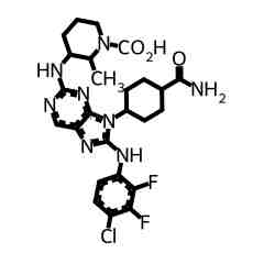 CC1C(Nc2ncc3nc(Nc4ccc(Cl)c(F)c4F)n(C4CCC(C(N)=O)CC4)c3n2)CCCN1C(=O)O